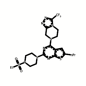 CCCc1cc2c(N3CCn4c(nnc4C(F)(F)F)C3)nc(N3CCN(S(=O)(=O)CC)CC3)nc2s1